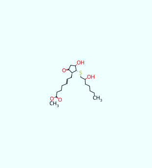 CCCCCC(O)CS[C@H]1C(O)CC(=O)[C@@H]1CC=CCCCC(=O)OC